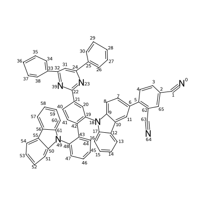 N#Cc1ccc(-c2ccc3c(c2)c2ccccc2n3-c2cc(-c3nc(-c4ccccc4)cc(-c4ccccc4)n3)ccc2-c2ccccc2-n2c3ccccc3c3ccccc32)c(C#N)c1